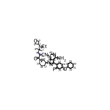 CCN(C1COC1)C(C)(C)/C=C(\C#N)C(=O)N1CCCC(n2nc(-c3ccc(Oc4ccccc4)cc3F)c3c(N)ncnc32)C1